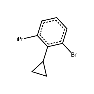 [CH2]C(C)c1cccc(Br)c1C1CC1